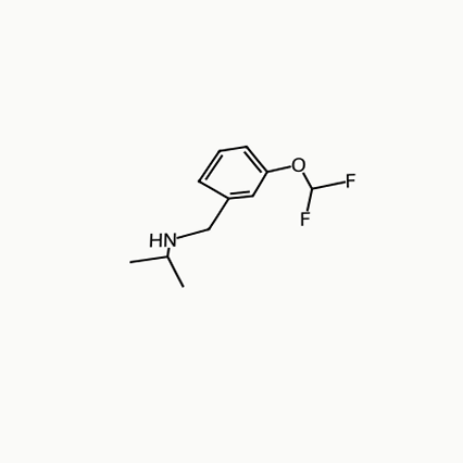 CC(C)NCc1cccc(OC(F)F)c1